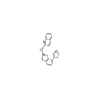 C1=CN(C2CC2c2ccc3ccccc3n2)Cc2c1cccc2C1=COCC1